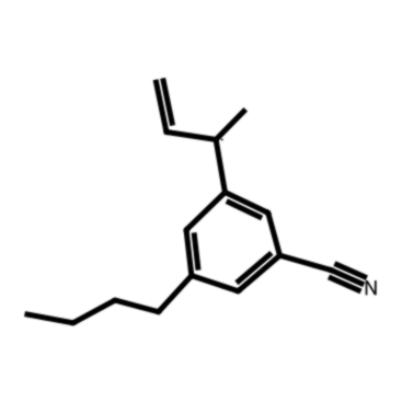 C=C[C](C)c1cc(C#N)cc(CCCC)c1